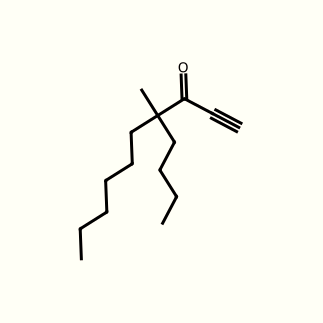 C#CC(=O)C(C)(CCCC)CCCCCC